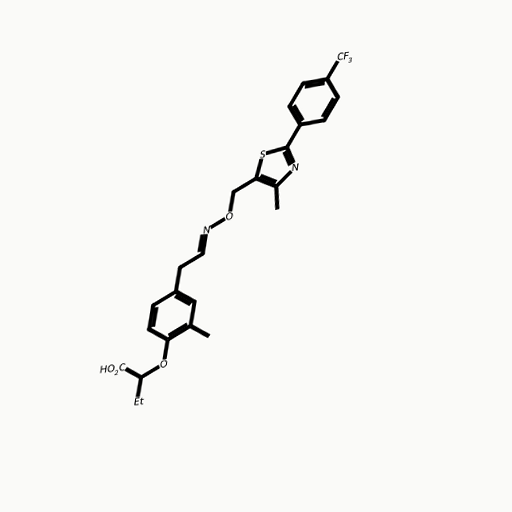 CCC(Oc1ccc(CC=NOCc2sc(-c3ccc(C(F)(F)F)cc3)nc2C)cc1C)C(=O)O